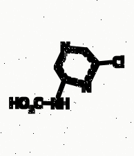 O=C(O)Nc1cncc(Cl)n1